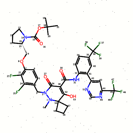 CN1N(Cc2ccc(OC[C@@H]3CCCN3C(=O)OC(C)(C)C)c(F)c2F)C(=O)C(C(=O)Nc2ccc(C(F)(F)F)cc2-c2cc(C(F)(F)F)ncn2)=C(O)C12CCC2